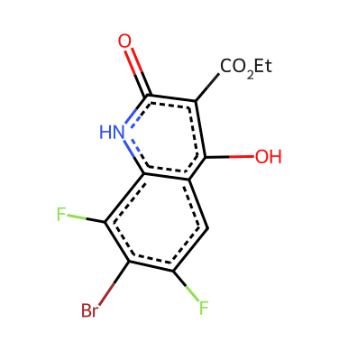 CCOC(=O)c1c(O)c2cc(F)c(Br)c(F)c2[nH]c1=O